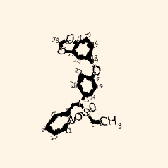 CCS(=O)(=O)N(Cc1ccccn1)c1ccc(Oc2ccc3c(c2)OCO3)cc1